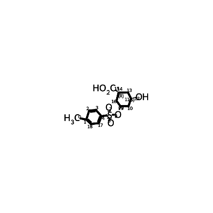 Cc1ccc(S(=O)(=O)O[C@H]2C[C@@H](O)C[C@@H](C(=O)O)C2)cc1